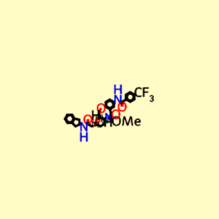 COCN1C(=O)c2cc(NC(=O)c3ccc(C(F)(F)F)cc3)ccc2OC[C@@H]2O[C@H](CC(=O)NC3Cc4ccccc4C3)CC[C@@H]21